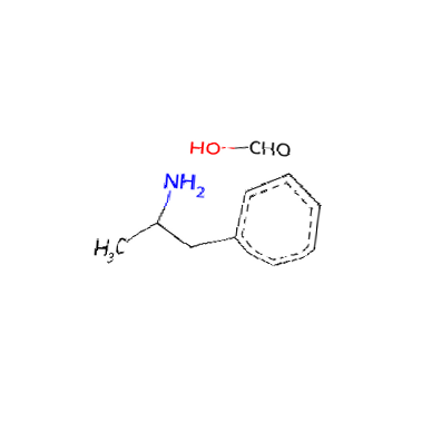 CC(N)Cc1ccccc1.O=CO